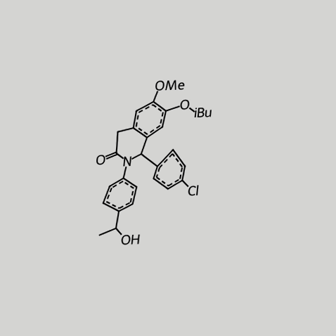 CCC(C)Oc1cc2c(cc1OC)CC(=O)N(c1ccc(C(C)O)cc1)C2c1ccc(Cl)cc1